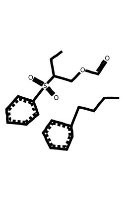 CCC(COC=O)S(=O)(=O)c1ccccc1.CCCCc1ccccc1